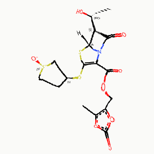 Cc1oc(=O)oc1COC(=O)C1=C(S[C@H]2CC[S@@+]([O-])C2)S[C@@H]2[C@@H]([C@@H](C)O)C(=O)N12